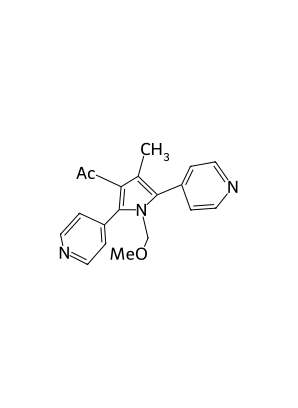 COCn1c(-c2ccncc2)c(C)c(C(C)=O)c1-c1ccncc1